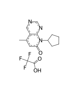 Cc1cc(=O)n(C2CCCC2)c2ncncc12.O=C(O)C(F)(F)F